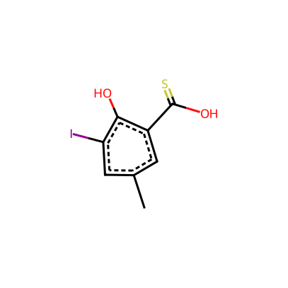 Cc1cc(I)c(O)c(C(O)=S)c1